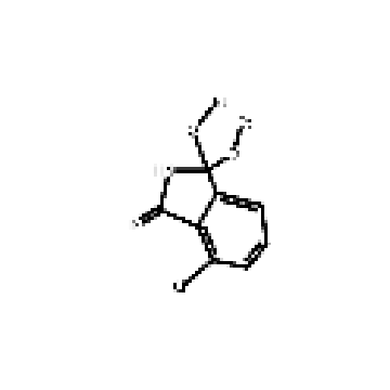 CCOC1(OCC)NC(=N)c2c(Cl)cccc21